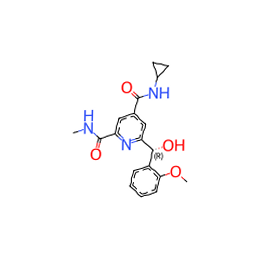 CNC(=O)c1cc(C(=O)NC2CC2)cc([C@H](O)c2ccccc2OC)n1